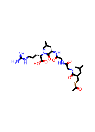 CC(=O)SCC(CC(C)C)C(=O)NCC(=O)NCC(=O)N[C@@H](CC(C)C)C(=O)N[C@@H](CCCNC(=N)N)C(=O)O